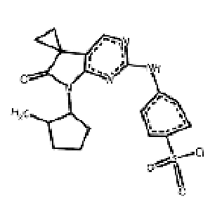 CC1CCCC1N1C(=O)C2(CC2)c2cnc(Nc3ccc(S(=O)(=O)Cl)cc3)nc21